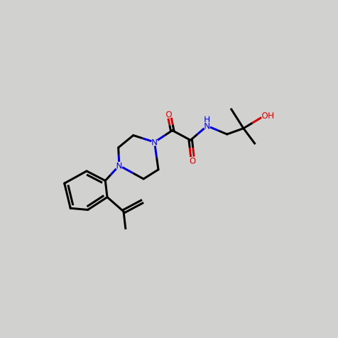 C=C(C)c1ccccc1N1CCN(C(=O)C(=O)NCC(C)(C)O)CC1